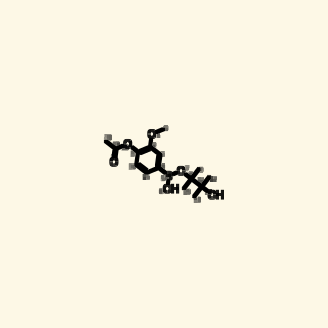 COc1cc(B(O)OC(C)(C)C(C)(C)O)ccc1OC(C)=O